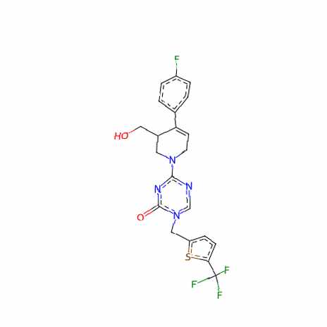 O=c1nc(N2CC=C(c3ccc(F)cc3)C(CO)C2)ncn1Cc1ccc(C(F)(F)F)s1